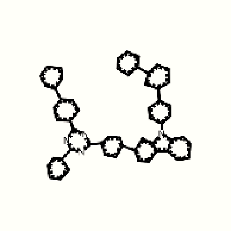 c1ccc(-c2ccc(-c3nc(-c4ccccc4)nc(-c4ccc(-c5ccc6c7ccccc7n(-c7ccc(-c8cccc(-c9ccccc9)c8)cc7)c6c5)cc4)n3)cc2)cc1